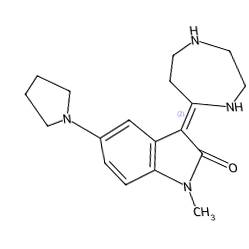 CN1C(=O)/C(=C2/CCNCCN2)c2cc(N3CCCC3)ccc21